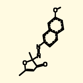 COc1ccc2ccc(/N=N/C3(C)OC(C)=CC3=O)cc2c1